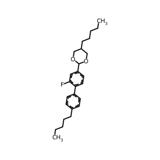 CCCCCc1ccc(-c2ccc(C3OCC(CCCCC)CO3)cc2F)cc1